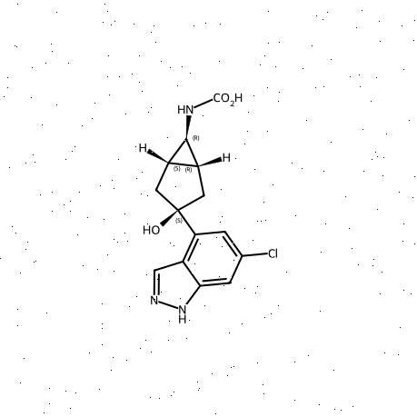 O=C(O)N[C@H]1[C@@H]2C[C@](O)(c3cc(Cl)cc4[nH]ncc34)C[C@@H]21